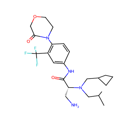 CC(C)CN(CC1CCC1)[C@H](CN)C(=O)Nc1ccc(N2CCOCC2=O)c(C(F)(F)F)c1